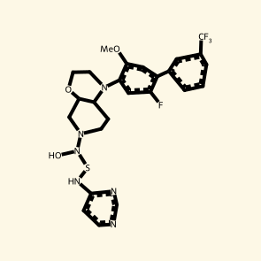 COc1cc(-c2cccc(C(F)(F)F)c2)c(F)cc1N1CCOC2CN(N(O)SNc3ccncn3)CCC21